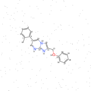 Cc1ccccc1-c1cnc2nc(COc3ccccc3)cn2c1